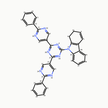 C1=Cc2c(n(-c3nc(-c4cnc(-c5ccccc5)nc4)nc(-c4cnc(-c5ccccc5)nc4)n3)c3ccccc23)CC1